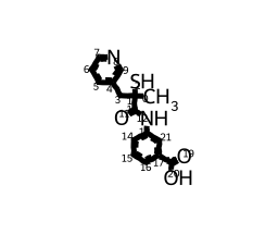 CC(S)(Cc1cccnc1)C(=O)Nc1cccc(C(=O)O)c1